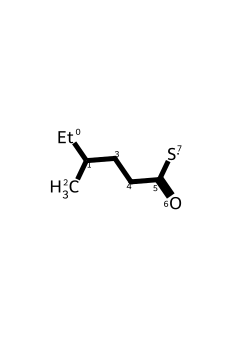 CCC(C)CCC(=O)[S]